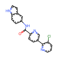 O=C(Nc1ccc2[nH]ccc2c1)c1ccc(-c2ncccc2Cl)cn1